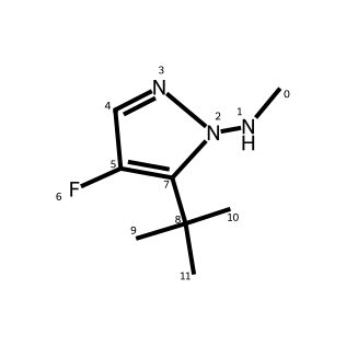 CNn1ncc(F)c1C(C)(C)C